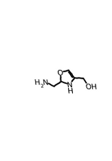 NCC1NC(CO)=CO1